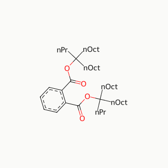 CCCCCCCCC(CCC)(CCCCCCCC)OC(=O)c1ccccc1C(=O)OC(CCC)(CCCCCCCC)CCCCCCCC